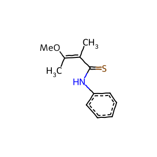 COC(C)=C(C)C(=S)Nc1ccccc1